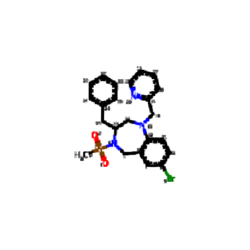 CS(=O)(=O)N1Cc2cc(Br)ccc2N(Cc2ccccn2)CC1Cc1ccccc1